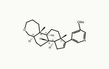 COc1cncc(C2=CC[C@H]3[C@@H]4CC[C@H]5COCCC[C@]5(C)[C@H]4CC[C@]23C)c1